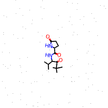 CC(C)C(NC(=O)C1CCC(=O)N1)C(=O)C(C)(C)C